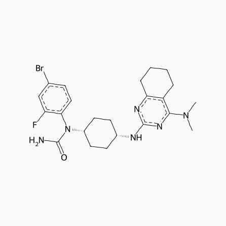 CN(C)c1nc(N[C@H]2CC[C@@H](N(C(N)=O)c3ccc(Br)cc3F)CC2)nc2c1CCCC2